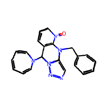 O=[N+]1CC=CC2=C1N(Cc1ccccc1)c1cnnn1C2N1C=CC=CC=C1